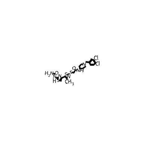 Cc1nc(SCC(=O)NC2CCN(Cc3ccc(Cl)c(Cl)c3)CC2)sc1-c1csc(NC(N)=O)n1